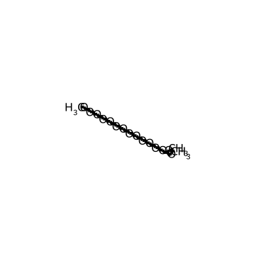 COCCOCCOCCOCCOCCOCCOCCOCCOCCOCCOCCOCCOCC1COC(C)(C)O1